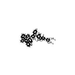 Cc1cc(C)cc(-c2ccc3c(c2)C(C)(C)c2cc(-n4c5ccccc5c5cc(N(c6ccc7c(c6)C(c6ccccc6)(c6ccccc6)c6ccccc6-7)c6ccc7oc8ccccc8c7c6)ccc54)ccc2-3)c1